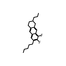 CCCCCc1cc2cc3c(cc2c(F)c1F)CC(CCC)CC3